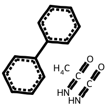 C.N=C=O.N=C=O.c1ccc(-c2ccccc2)cc1